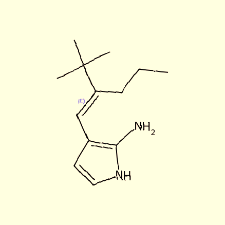 CCC/C(=C\c1cc[nH]c1N)C(C)(C)C